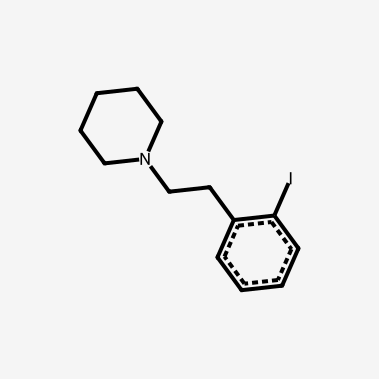 Ic1ccccc1CCN1CCCCC1